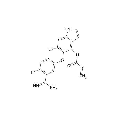 C=CC(=O)Oc1c(Oc2ccc(F)c(C(=N)N)c2)c(F)cc2[nH]ccc12